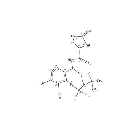 CC1(C)CC(C(NC(=O)[C@@H]2CNC(=O)N2)c2ccc(F)c(Cl)c2)C1C(F)(F)F